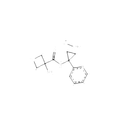 NC1(C(=O)NC2(c3ccccn3)CC2)COC1.O=CO